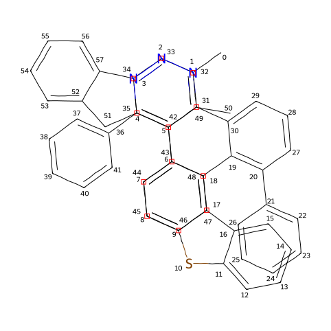 Cc1cc2c(c(-c3ccc4sc5ccccc5c4c3-c3c(-c4ccccc4)cccc3-c3nnnc(-c4ccccc4)c3-c3ccccc3)c1C)Cc1ccccc1-2